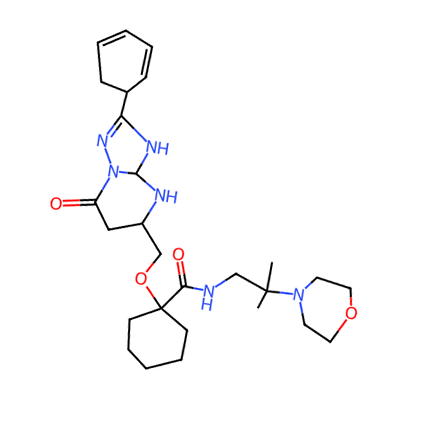 CC(C)(CNC(=O)C1(OCC2CC(=O)N3N=C(C4C=CC=CC4)NC3N2)CCCCC1)N1CCOCC1